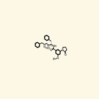 CC(C)Oc1cc(C(=O)N[C@@H](Cc2ccccc2)[C@H](O)CNCc2ccccc2)cc(N2CCCC2=O)c1